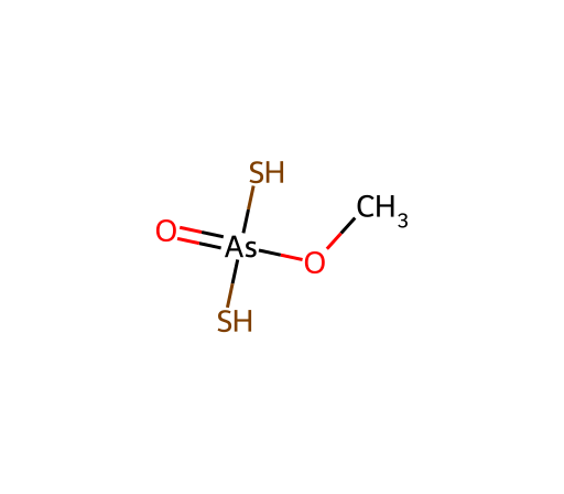 CO[As](=O)(S)S